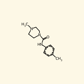 Cc1ccc(NC(=O)N2CCN(C)CC2)cc1